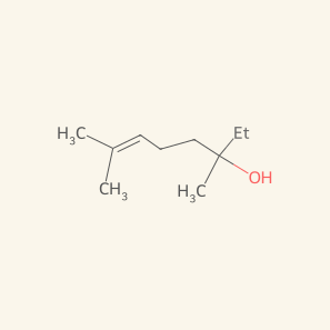 CCC(C)(O)CCC=C(C)C